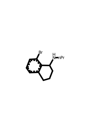 CCCNC1CCCc2cccc(Br)c21